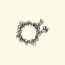 CC[C@H](C)[C@@H]1NC(=O)[C@H](CC(C)C)N(C)C(=O)C[C@@H](C(=O)N2CCCCC2)N(C)C(=O)[C@H](C(C)C)N(C)C(=O)C2(CCC2)NC(=O)[C@H](CC(=O)N2CCC(F)(F)CC2)N(C)C(=O)[C@H](CCc2ccc(C(F)(F)F)c(Cl)c2)NC(=O)CN(C)C(=O)[C@H](CC2CCCCC2)N(C)C(=O)CN(C)C(=O)CN(C)C1=O